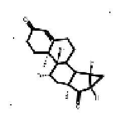 C[C@]12CCC(=O)C=C1CCC1C3[C@@H]4C[C@@H]4C(=O)[C@@]3(C)C[C@H](F)[C@@]12Br